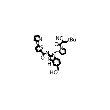 CC(C)(C)/C=C(\C#N)C(=O)N1CCC[C@@H]1Cn1/c(=N/C(=O)c2ccc(-n3cccn3)s2)[nH]c2cc(CO)ccc21